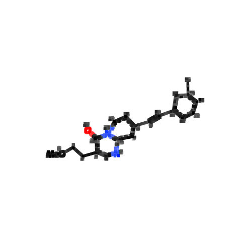 COCCc1cnc2cc(C#Cc3cccc(C)c3)ccn2c1=O